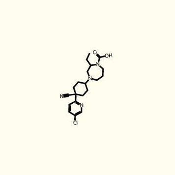 CCC1CN(C2CCC(C#N)(c3ccc(Cl)cn3)CC2)CCCN1C(=O)O